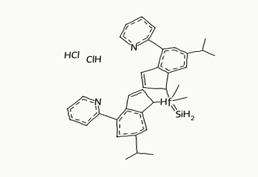 CC(C)c1cc(-c2ccccn2)c2c(c1)[CH]([Hf]([CH3])([CH3])(=[SiH2])[CH]1C=Cc3c(-c4ccccn4)cc(C(C)C)cc31)C=C2.Cl.Cl